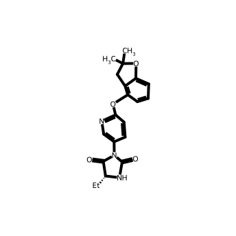 CC[C@H]1NC(=O)N(c2ccc(Oc3cccc4c3CC(C)(C)O4)nc2)C1=O